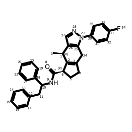 C[C@@H]1C2=C(CC[C@H]2C(=O)NC(Cc2ccccc2)c2ccccc2)Cc2c1cnn2-c1ccc(F)cc1